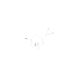 C[C@H](O)CC(CO)C1CC1